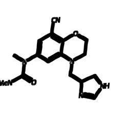 CNC(=O)N(C)c1cc(C#N)c2c(c1)N(CC1CNC=N1)CCO2